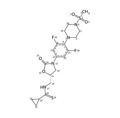 CS(=O)(=O)N1CCN(c2c(F)cc(N3C[C@H](CNC(=S)C4CC4)OC3=O)cc2F)CC1